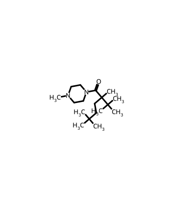 CN1CCN(C(=O)C(C)(CCC(C)(C)C)C(C)(C)C)CC1